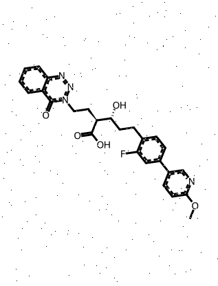 COc1ccc(-c2ccc(CC[C@@H](O)[C@H](CCn3nnc4ccccc4c3=O)C(=O)O)c(F)c2)cn1